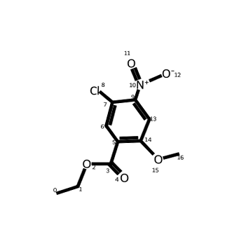 CCOC(=O)c1cc(Cl)c([N+](=O)[O-])cc1OC